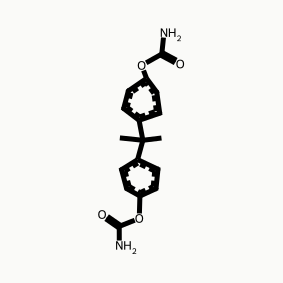 CC(C)(c1ccc(OC(N)=O)cc1)c1ccc(OC(N)=O)cc1